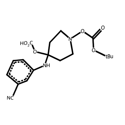 CC(C)(C)OC(=O)ON1CCC(Nc2cccc(C#N)c2)(OC(=O)O)CC1